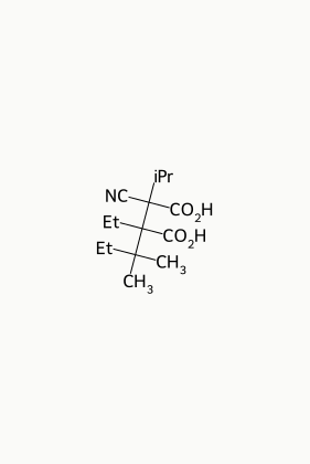 CCC(C)(C)C(CC)(C(=O)O)C(C#N)(C(=O)O)C(C)C